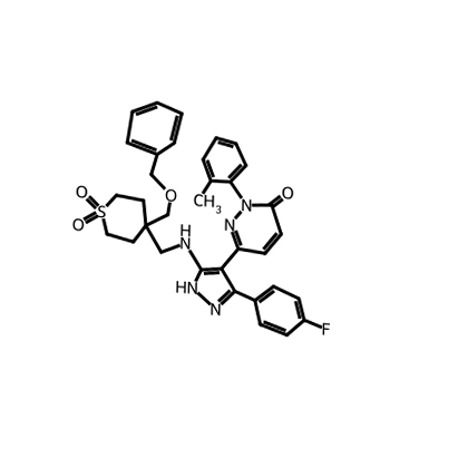 Cc1ccccc1-n1nc(-c2c(-c3ccc(F)cc3)n[nH]c2NCC2(COCc3ccccc3)CCS(=O)(=O)CC2)ccc1=O